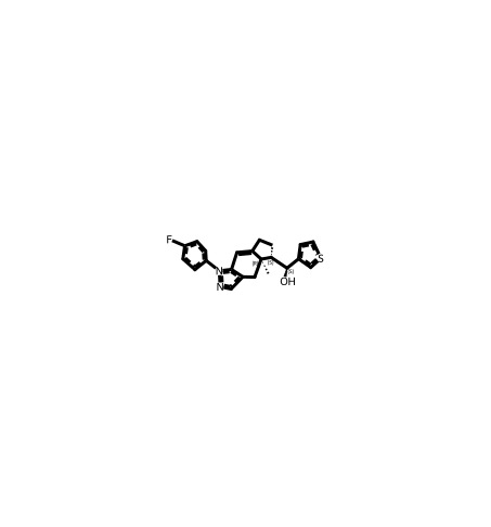 C[C@]12Cc3cnn(-c4ccc(F)cc4)c3C=C1CC[C@@H]2[C@H](O)c1ccsc1